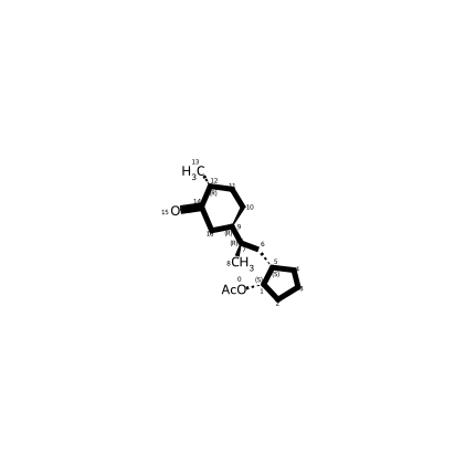 CC(=O)O[C@H]1CCC[C@H]1C[C@@H](C)[C@@H]1CC[C@@H](C)C(=O)C1